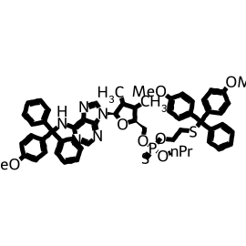 CCCOP(=S)(OCCSC(c1ccccc1)(c1ccc(OC)cc1)c1ccc(OC)cc1)OC[C@H]1O[C@@H](n2cnc3c(NC(c4ccccc4)(c4ccccc4)c4ccc(OC)cc4)ncnc32)C(C)C1C